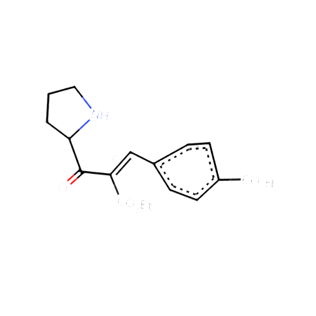 CCOC(=O)/C(=C\c1ccc(C(=O)O)cc1)C(=O)C1CCCN1